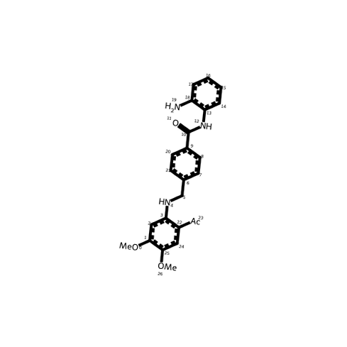 COc1cc(NCc2ccc(C(=O)Nc3ccccc3N)cc2)c(C(C)=O)cc1OC